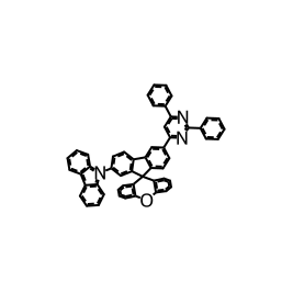 c1ccc(-c2cc(-c3ccc4c(c3)-c3ccc(-n5c6ccccc6c6ccccc65)cc3C43c4ccccc4Oc4ccccc43)nc(-c3ccccc3)n2)cc1